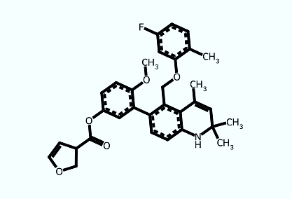 COc1ccc(OC(=O)C2C=COC2)cc1-c1ccc2c(c1COc1cc(F)ccc1C)C(C)=CC(C)(C)N2